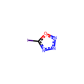 Ic1nnno1